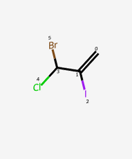 C=C(I)C(Cl)Br